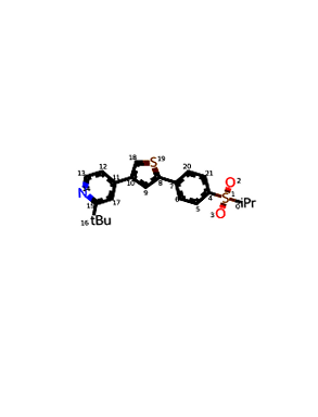 CC(C)S(=O)(=O)c1ccc(-c2cc(-c3ccnc(C(C)(C)C)c3)cs2)cc1